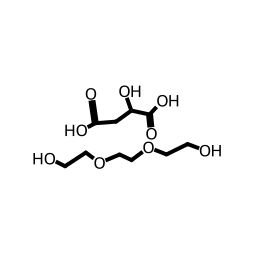 O=C(O)CC(O)C(=O)O.OCCOCCOCCO